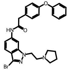 O=C(Cc1ccc(Oc2ccccc2)cc1)Nc1ccc2c(Br)nn(CCN3CCCC3)c2c1